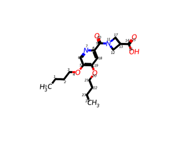 CCCCOc1cnc(C(=O)N2CC(C(=O)O)C2)cc1OCCCC